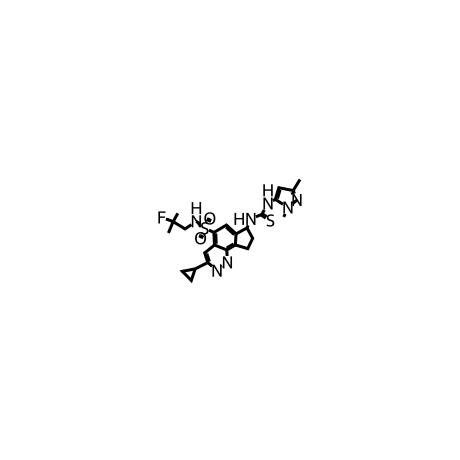 Cc1cc(NC(=S)NC2CCc3c2cc(S(=O)(=O)NCC(C)(C)F)c2cc(C4CC4)nnc32)n(C)n1